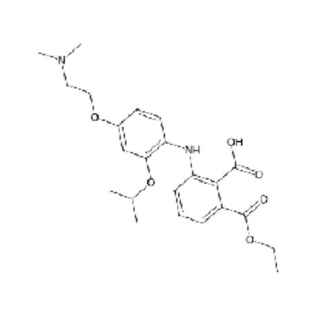 CCOC(=O)c1cccc(Nc2ccc(OCCN(C)C)cc2OC(C)C)c1C(=O)O